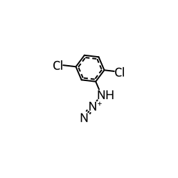 N#[N+]Nc1cc(Cl)ccc1Cl